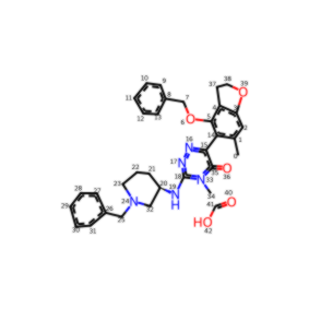 Cc1cc2c(c(OCc3ccccc3)c1-c1nnc(N[C@@H]3CCCN(Cc4ccccc4)C3)n(C)c1=O)CCO2.O=CO